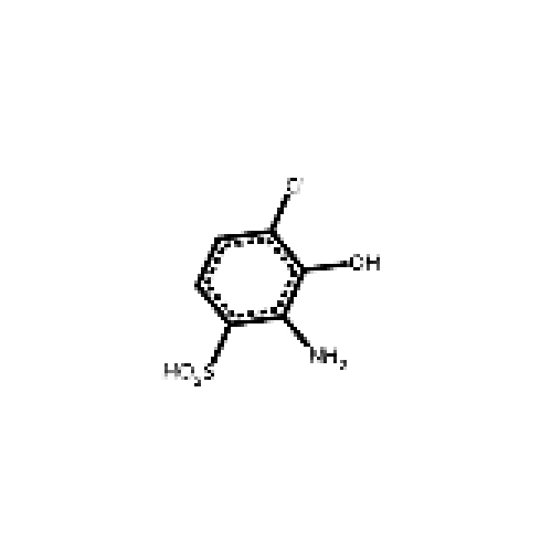 Nc1c(S(=O)(=O)O)ccc(Cl)c1O